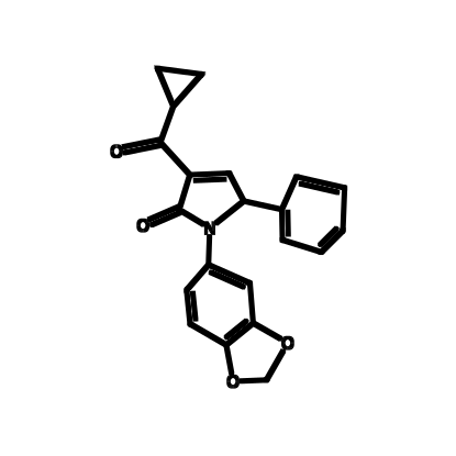 O=C(C1=CC(c2ccccc2)N(c2ccc3c(c2)OCO3)C1=O)C1CC1